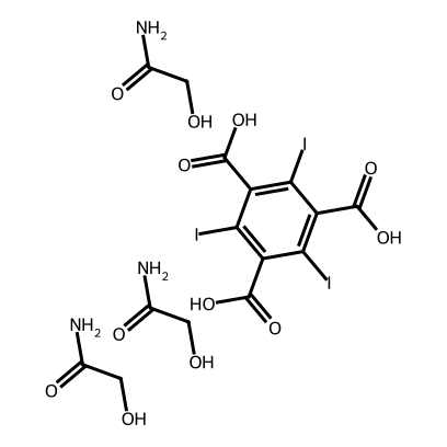 NC(=O)CO.NC(=O)CO.NC(=O)CO.O=C(O)c1c(I)c(C(=O)O)c(I)c(C(=O)O)c1I